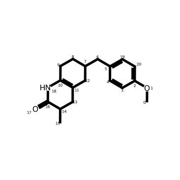 COc1ccc(CC2CCC3=C(C2)CC(C)C(=O)N3)cc1